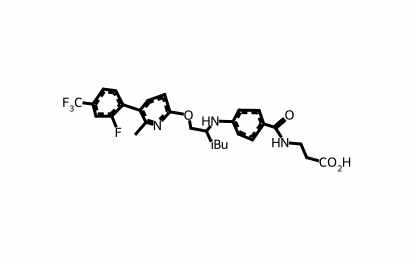 CCC(C)C(COc1ccc(-c2ccc(C(F)(F)F)cc2F)c(C)n1)Nc1ccc(C(=O)NCCC(=O)O)cc1